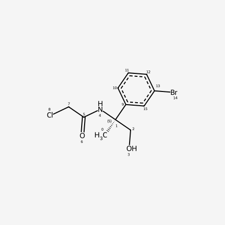 C[C@](CO)(NC(=O)CCl)c1cccc(Br)c1